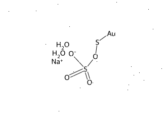 O.O.O=S(=O)([O-])O[S][Au].[Na+]